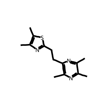 Cc1nc(C)c(CCc2nc(C)c(C)s2)nc1C